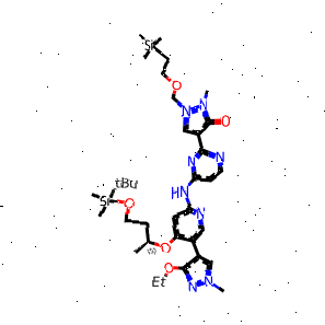 CCOc1nn(C)cc1-c1cnc(Nc2ccnc(-c3cn(COCC[Si](C)(C)C)n(C)c3=O)n2)cc1O[C@@H](C)CCO[Si](C)(C)C(C)(C)C